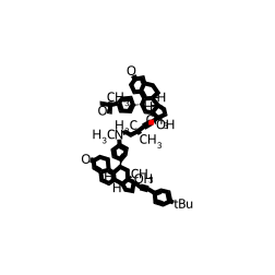 CN(CCC(C)(C)C#C[C@]1(O)CC[C@H]2[C@@H]3CCC4=CC(=O)CCC4=C3[C@@H](c3ccc(C4(C)COC4)cc3)C[C@@]21C)c1ccc([C@H]2C[C@@]3(C)[C@@H](CC[C@@]3(O)C#Cc3ccc(C(C)(C)C)cc3)[C@@H]3CCC4=CC(=O)CCC4=C32)cc1